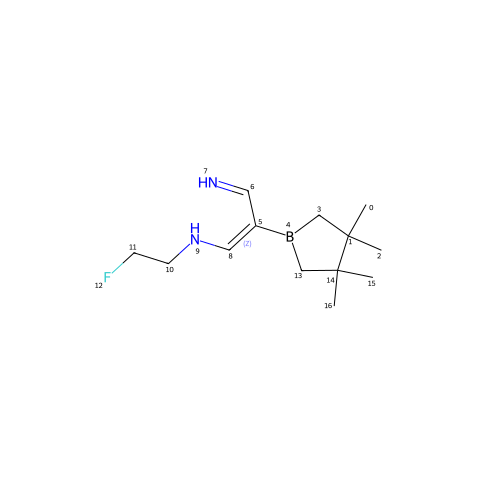 CC1(C)CB(/C(C=N)=C/NCCF)CC1(C)C